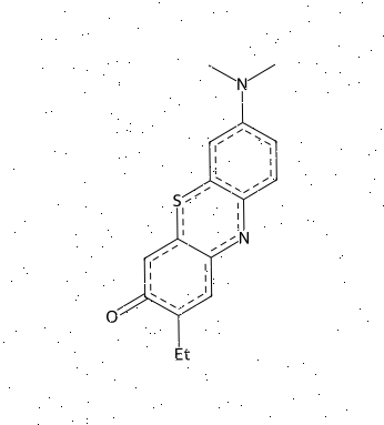 CCc1cc2nc3ccc(N(C)C)cc3sc-2cc1=O